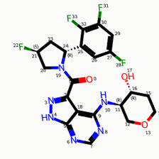 O=C(c1n[nH]c2ncnc(N[C@@H]3COCC[C@H]3O)c12)N1C[C@@H](F)C[C@@H]1c1cc(F)cc(F)c1F